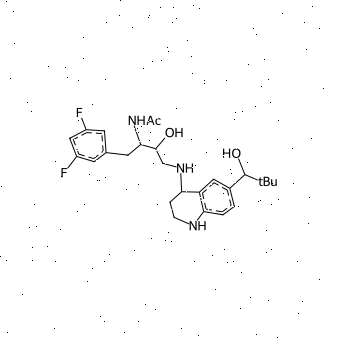 CC(=O)NC(Cc1cc(F)cc(F)c1)C(O)CNC1CCNc2ccc(C(O)C(C)(C)C)cc21